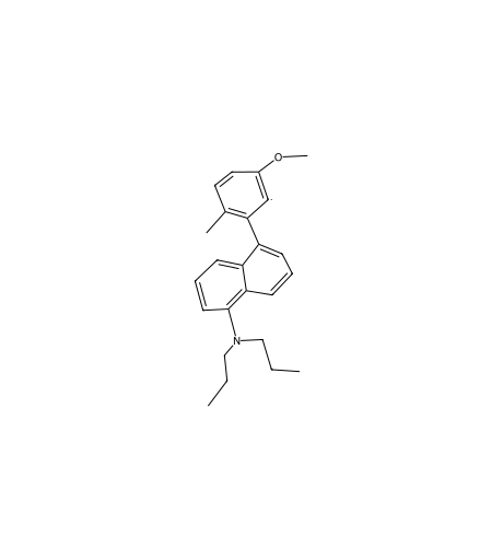 CCCN(CCC)c1cccc2c(-c3[c]c(OC)ccc3C)cccc12